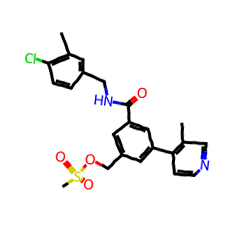 Cc1cc(CNC(=O)c2cc(COS(C)(=O)=O)cc(-c3ccncc3C)c2)ccc1Cl